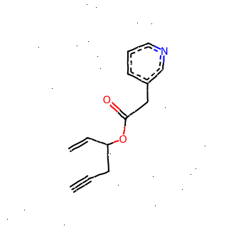 C#CCC(C=C)OC(=O)Cc1cccnc1